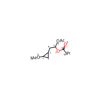 COC1CC1CC(OC(C)=O)OC(=O)C(C)C